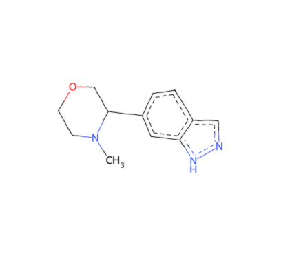 CN1CCOCC1c1ccc2cn[nH]c2c1